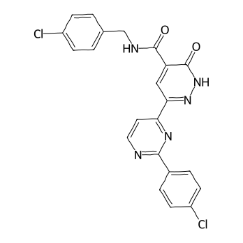 O=C(NCc1ccc(Cl)cc1)c1cc(-c2ccnc(-c3ccc(Cl)cc3)n2)n[nH]c1=O